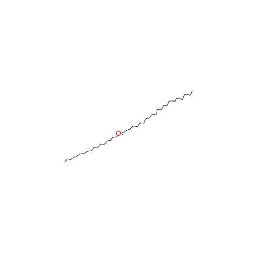 CCCCCCCCCCCCCCCCCCCCC[CH]OCCCCCCCCCCCCCCCCC